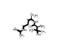 CC(C)(S)[C@H](N)C(=O)N[C@@H](CCCNC(=N)N)C(=O)O